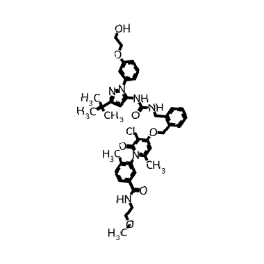 COCCNC(=O)c1ccc(C)c(-n2c(C)cc(OCc3ccccc3CNC(=O)Nc3cc(C(C)(C)C)nn3-c3cccc(OCCO)c3)c(Cl)c2=O)c1